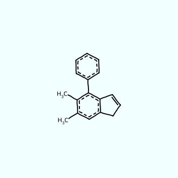 Cc1cc2c(c(-c3ccccc3)c1C)C=CC2